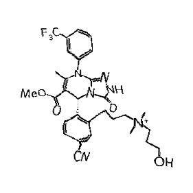 COC(=O)C1=C(C)N(c2cccc(C(F)(F)F)c2)c2n[nH]c(=O)n2[C@@H]1c1ccc(C#N)cc1CCC[N+](C)(C)CCCO